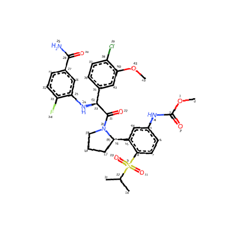 COC(=O)Nc1ccc(S(=O)(=O)C(C)C)c([C@H]2CCCN2C(=O)[C@@H](Nc2cc(C(N)=O)ccc2F)c2ccc(Cl)c(OC)c2)c1